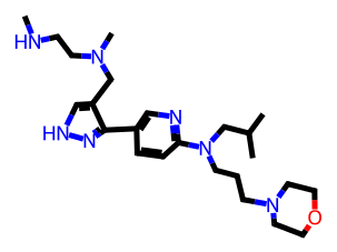 CNCCN(C)Cc1c[nH]nc1-c1ccc(N(CCCN2CCOCC2)CC(C)C)nc1